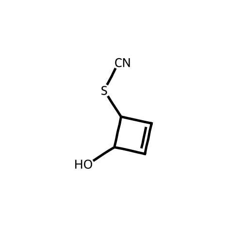 N#CSC1C=CC1O